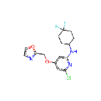 FC1(F)CCC(Nc2cc(OCc3ncco3)cc(Cl)n2)CC1